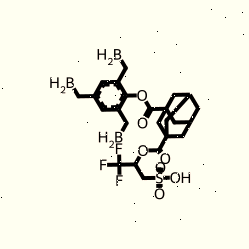 BCc1cc(CB)c(OC(=O)C23CC4CC(C2)CC(C(=O)OC(CS(=O)(=O)O)C(F)(F)F)(C4)C3)c(CB)c1